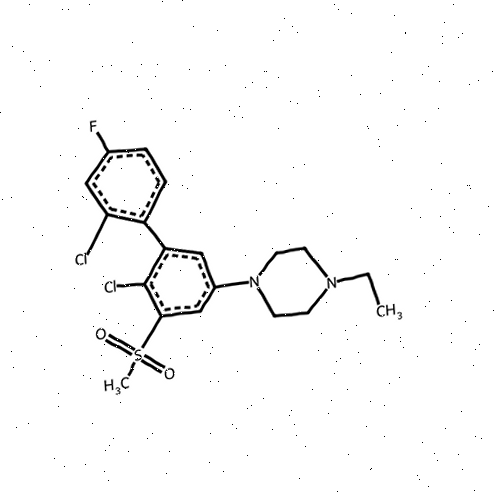 CCN1CCN(c2cc(-c3ccc(F)cc3Cl)c(Cl)c(S(C)(=O)=O)c2)CC1